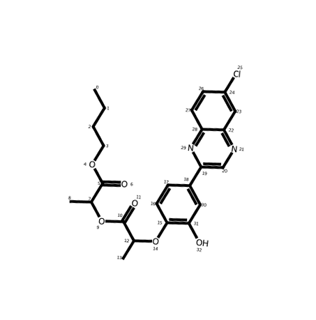 CCCCOC(=O)C(C)OC(=O)C(C)Oc1ccc(-c2cnc3cc(Cl)ccc3n2)cc1O